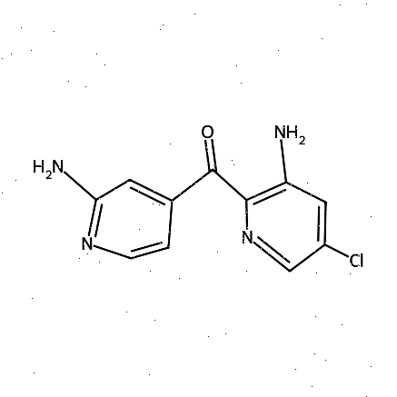 Nc1cc(C(=O)c2ncc(Cl)cc2N)ccn1